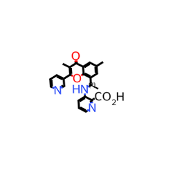 Cc1cc([C@@H](C)Nc2cccnc2C(=O)O)c2oc(-c3cccnc3)c(C)c(=O)c2c1